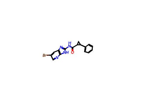 O=C(Nc1nc2cc(Br)cnc2[nH]1)C1CC1c1ccccc1